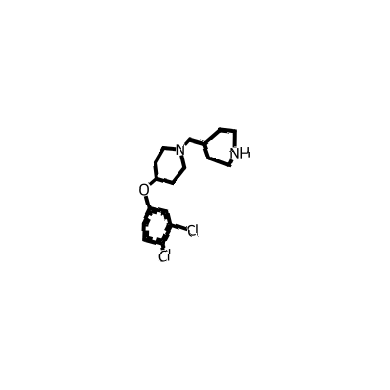 Clc1ccc(OC2CCN(CC3CCNCC3)CC2)cc1Cl